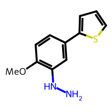 COc1ccc(-c2cccs2)cc1NN